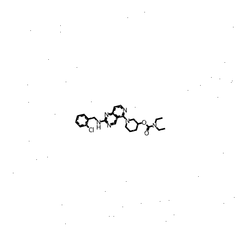 CCN(CC)C(=O)OC1CCCN(c2nccc3nc(NCc4ccccc4Cl)ncc23)C1